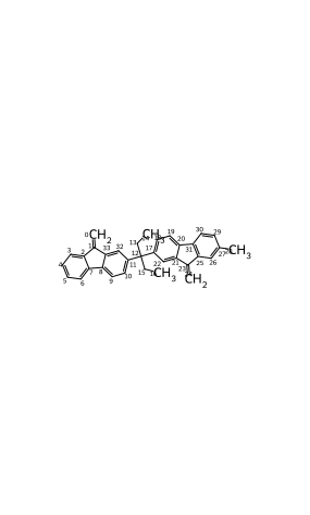 C=C1c2ccccc2-c2ccc(C(CC)(CC)c3ccc4c(c3)C(=C)c3cc(C)ccc3-4)cc21